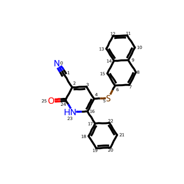 N#Cc1cc(Sc2ccc3ccccc3c2)c(-c2ccccc2)[nH]c1=O